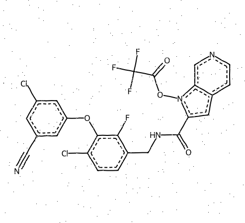 N#Cc1cc(Cl)cc(Oc2c(Cl)ccc(CNC(=O)c3cc4ccncc4n3OC(=O)C(F)(F)F)c2F)c1